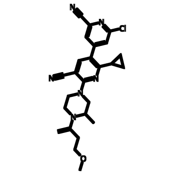 C=C(CCOC)N1CCN(c2nc(C3CC3)c(-c3cc(Cl)nc(C#N)c3)cc2C#N)CC1C